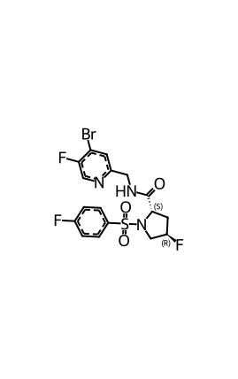 O=C(NCc1cc(Br)c(F)cn1)[C@@H]1C[C@@H](F)CN1S(=O)(=O)c1ccc(F)cc1